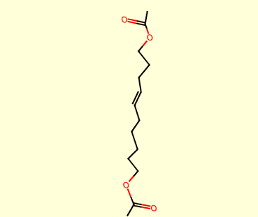 CC(=O)OCCC/C=C/CCCCCOC(C)=O